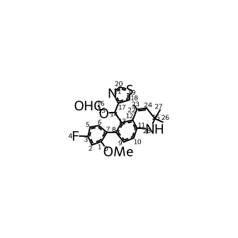 COc1cc(F)ccc1-c1ccc2c(c1C(OC=O)c1cscn1)C(C)=CC(C)(C)N2